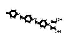 Cc1ccc(N=Nc2ccc(N=Nc3ccc(N(CCO)CCO)cc3)cc2)cc1